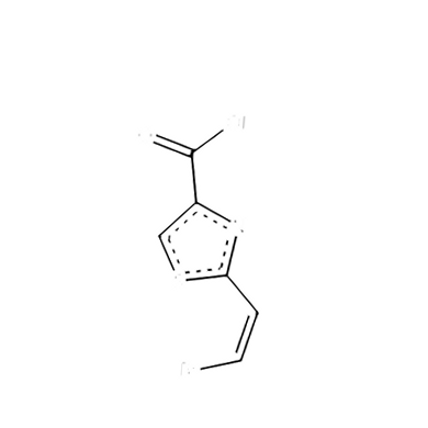 O=C(O)c1csc(/C=C\Br)n1